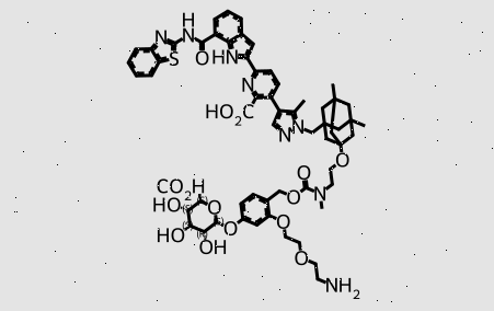 Cc1c(-c2ccc(-c3cc4cccc(C(=O)Nc5nc6ccccc6s5)c4[nH]3)nc2C(=O)O)cnn1CC12CC3(C)CC(C)(C1)CC(OCCN(C)C(=O)OCc1ccc(O[C@@H]4O[C@H](C(=O)O)[C@@H](O)[C@H](O)[C@H]4O)cc1OCCOCCN)(C3)C2